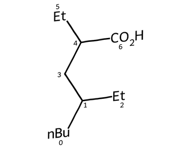 CCCCC(CC)CC(CC)C(=O)O